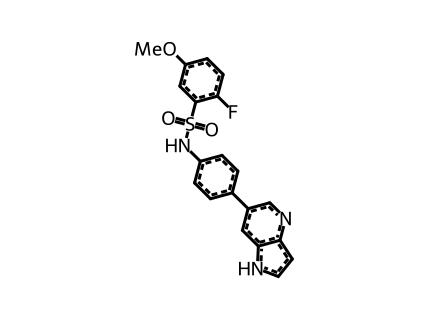 COc1ccc(F)c(S(=O)(=O)Nc2ccc(-c3cnc4cc[nH]c4c3)cc2)c1